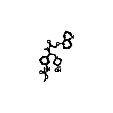 CO[SH](=O)=Nc1cccc(C(CN2CC[C@H](O)C2)N(C)C(=O)COc2cccc3ncccc23)c1